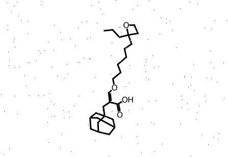 CCCC1(CCCCCCOC=C(CC23CC4CC(CC(C4)C2)C3)C(=O)O)CCO1